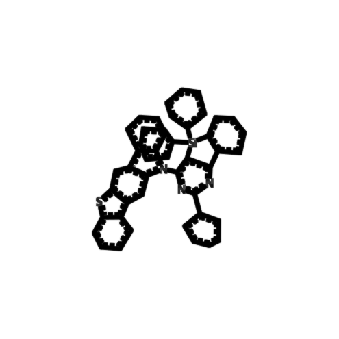 c1ccc(-c2nc3c(c(-n4c5ccccc5c5cc6sc7ccccc7c6cc54)n2)[Si](c2ccccc2)(c2ccccc2)c2ccccc2-3)cc1